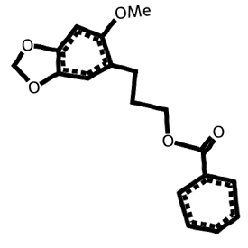 COc1cc2c(cc1CCCOC(=O)c1ccccc1)OCO2